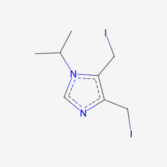 CC(C)n1cnc(CI)c1CI